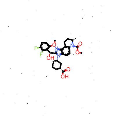 COC(=O)N1c2ccc3c(nc([C@@H](O)c4c(OC)ccc(F)c4F)n3[C@@H]3CCC[C@@H](C(=O)O)C3)c2CC[C@@H]1C